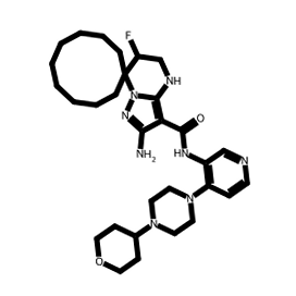 Nc1nn2c(c1C(=O)Nc1cnccc1N1CCN(C3CCOCC3)CC1)NCC(F)C21CCCCCCCCC1